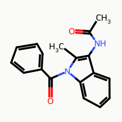 CC(=O)Nc1c(C)n(C(=O)c2ccccc2)c2ccccc12